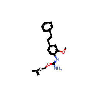 C=C(C)CCOC(N)=Nc1ccc(C=Cc2ccccc2)cc1OC